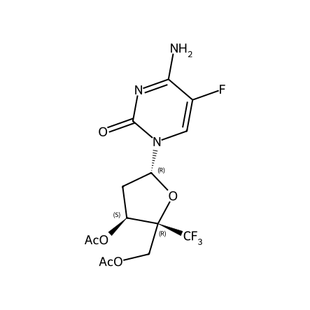 CC(=O)OC[C@@]1(C(F)(F)F)O[C@@H](n2cc(F)c(N)nc2=O)C[C@@H]1OC(C)=O